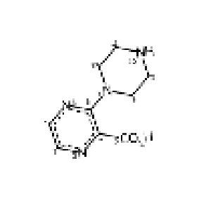 O=C(O)c1nccnc1N1CCNCC1